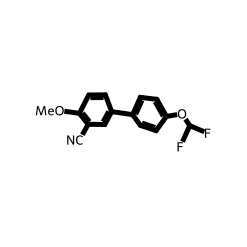 COc1ccc(-c2ccc(OC(F)F)cc2)cc1C#N